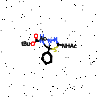 CC(=O)NC1=NN(C(C)=O)C(CNC(=O)OC(C)(C)C)(c2ccccc2)S1